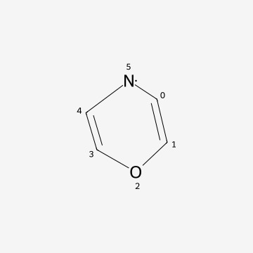 C1=COC=C[N]1